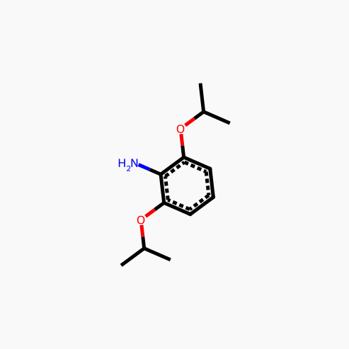 CC(C)Oc1cccc(OC(C)C)c1N